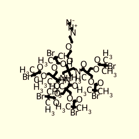 CC(C)(Br)C(=O)OCC(C)(COC(=O)C(C)(C)Br)C(=O)NCC(CNC(=O)C(C)(COC(=O)C(C)(C)Br)COC(=O)C(C)(C)Br)(CNC(=O)C(C)(COC(=O)C(C)(C)Br)COC(O)C(C)(C)Br)COCCOCCN=[N+]=[N-]